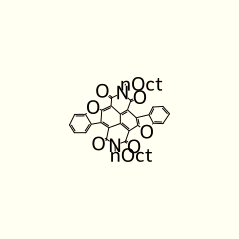 CCCCCCCCN1C(=O)c2c3oc4ccccc4c3c3c4c(c5oc6ccccc6c5c(c24)C1=O)C(=O)N(CCCCCCCC)C3=O